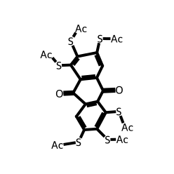 CC(=O)Sc1cc2c(c(SC(C)=O)c1SC(C)=O)C(=O)c1cc(SC(C)=O)c(SC(C)=O)c(SC(C)=O)c1C2=O